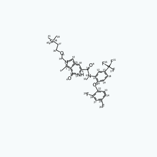 Cc1c2c(=O)[nH]c(C(=O)N(C)c3cc(C(F)(F)F)ccc3Oc3ccc(F)cc3F)cc2cn1COCC[Si](C)(C)C